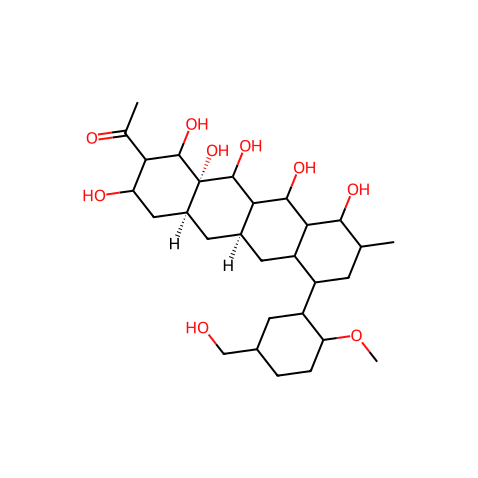 COC1CCC(CO)CC1C1CC(C)C(O)C2C(O)C3C(O)[C@]4(O)C(O)C(C(C)=O)C(O)C[C@@H]4C[C@@H]3CC12